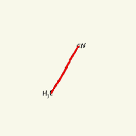 CC#CC#CC#CC#CC#CC#CC#CC#CC#CC#CC#CC#CC#CC#CC#CC#CC#CC#CC#CC#CC#CC#CC#CC#CC#CC#CC#CC#CC#CC#CC#CC#CC#CC#CC#CC#CC#CC#CC#CC#CC#CC#CC#N